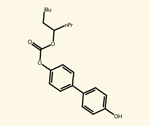 CCCC(CC(C)CC)OC(=O)Oc1ccc(-c2ccc(O)cc2)cc1